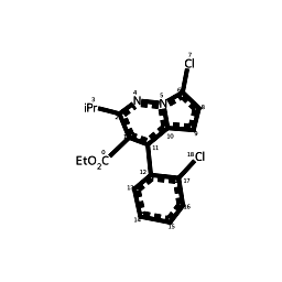 CCOC(=O)c1c(C(C)C)nn2c(Cl)ccc2c1-c1ccccc1Cl